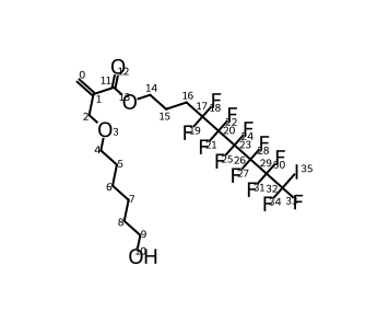 C=C(COCCCCCCO)C(=O)OCCCC(F)(F)C(F)(F)C(F)(F)C(F)(F)C(F)(F)C(F)(F)I